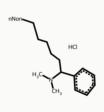 CCCCCCCCCCCCCCC(c1ccccc1)N(C)C.Cl